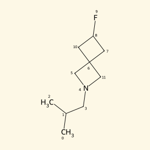 CC(C)CN1CC2(CC(F)C2)C1